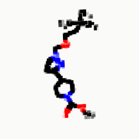 CC(C)(C)OC(=O)N1CCC(c2ccn(COCC[Si](C)(C)C)n2)CC1